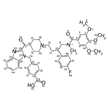 COc1cc(C(=O)N(C)CC(CCN2CCC(C(=O)c3nc4ccccc4n3Cc3ccc(C(=O)O)cc3)CC2)c2ccc(F)cc2)cc(OC)c1OC